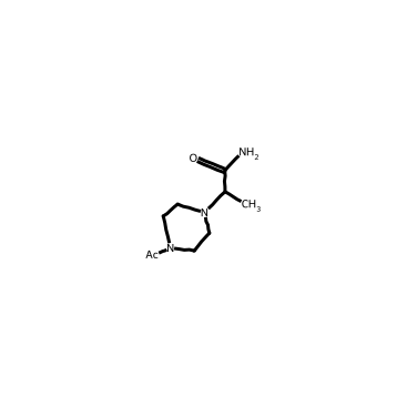 CC(=O)N1CCN(C(C)C(N)=O)CC1